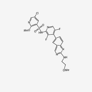 COCCNc1ncc2cc(-c3c(F)cnc(NS(=O)(=O)c4cc(Cl)cnc4OC)c3F)ccc2n1